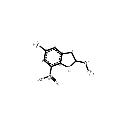 COC1Cc2cc(C)cc([N+](=O)[O-])c2O1